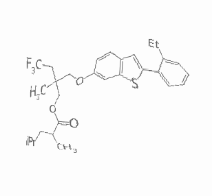 CCc1ccccc1-c1cc2ccc(OCC(C)(COC(=O)C(C)CC(C)C)CC(F)(F)F)cc2s1